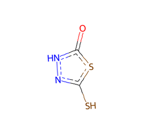 O=c1[nH]nc(S)s1